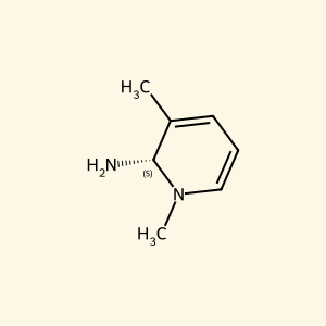 CC1=CC=CN(C)[C@@H]1N